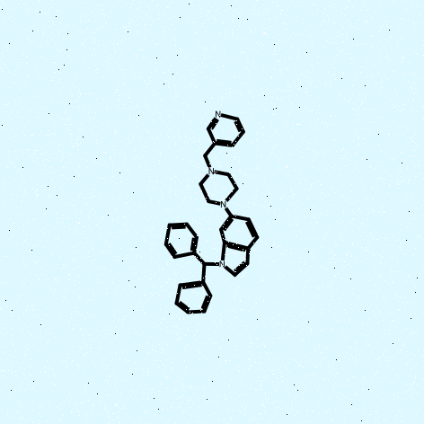 c1ccc(C(c2ccccc2)n2ccc3ccc(N4CCN(Cc5cccnc5)CC4)cc32)cc1